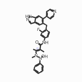 C/C(C(=O)Nc1ccc(Cc2cc3cn[nH]c3cc2-c2ccncc2)c(F)c1)=C(/C)N(C)N(O)c1ccccc1